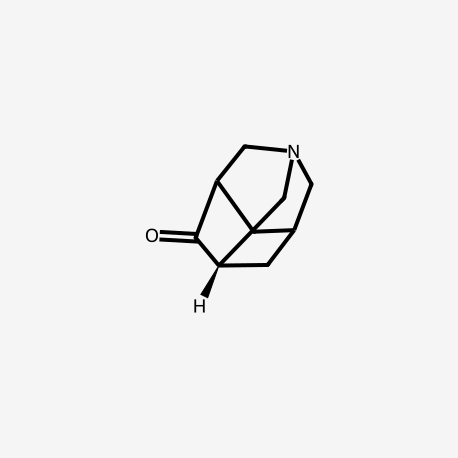 O=C1C2CC3C[C@H]1CN(C3)C2